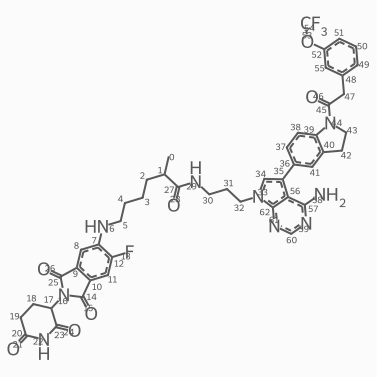 CC(CCCCNc1cc2c(cc1F)C(=O)N(C1CCC(=O)NC1=O)C2=O)C(=O)NCCCn1cc(-c2ccc3c(c2)CCN3C(=O)Cc2cccc(OC(F)(F)F)c2)c2c(N)ncnc21